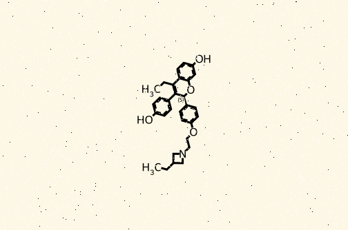 CCC1=C(c2ccc(O)cc2)[C@H](c2ccc(OCCN3CC(CC)C3)cc2)Oc2cc(O)ccc21